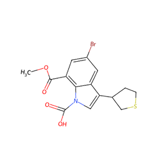 COC(=O)c1cc(Br)cc2c(C3CCSC3)cn(C(=O)O)c12